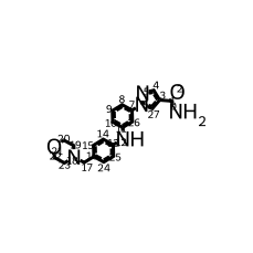 NC(=O)c1cnn(-c2cccc(Nc3ccc(CN4CCOCC4)cc3)c2)c1